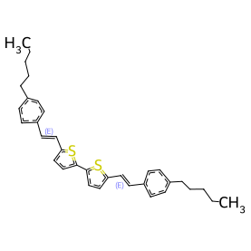 CCCCCc1ccc(/C=C/c2ccc(-c3ccc(/C=C/c4ccc(CCCCC)cc4)s3)s2)cc1